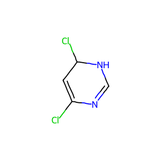 ClC1=CC(Cl)NC=N1